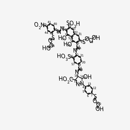 O=C(O)C1=NN(c2ccc(SOOO)cc2)C(O)C1N=Nc1ccc(N=Nc2c(SOOO)cc3cc(S(=O)(=O)O)c(N=Nc4ccc([N+](=O)[O-])cc4SOOO)c(O)c3c2O)c(S(=O)(=O)O)c1